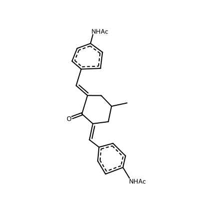 CC(=O)Nc1ccc(C=C2CC(C)CC(=Cc3ccc(NC(C)=O)cc3)C2=O)cc1